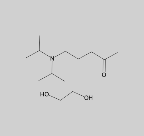 CC(=O)CCCN(C(C)C)C(C)C.OCCO